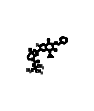 CC(C)(C)OC(=O)N1CCC[C@@H]2CN(c3cc4c(cc3F)c(=O)n(OCc3ccccc3)c(=O)n4C3CC3)CC21